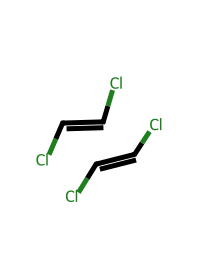 Cl/C=C/Cl.Cl/C=C/Cl